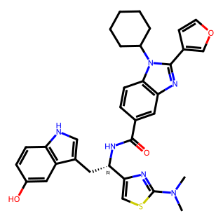 CN(C)c1nc([C@H](Cc2c[nH]c3ccc(O)cc23)NC(=O)c2ccc3c(c2)nc(-c2ccoc2)n3C2CCCCC2)cs1